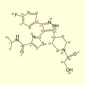 CC(C)NC(=O)c1csc(-c2c(-c3ccc(F)cc3)n[nH]c2C2CCN(C(=O)CO)CC2)n1